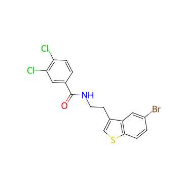 O=C(NCCc1csc2ccc(Br)cc12)c1ccc(Cl)c(Cl)c1